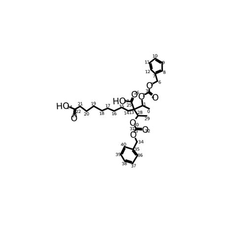 CC(OC(=O)OCc1ccccc1)C(CCCCCCCCC(=O)O)(C(=O)O)C(C)OC(=O)OCc1ccccc1